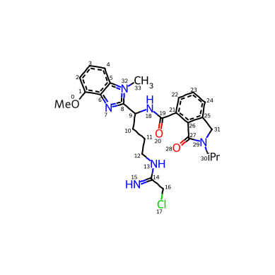 COc1cccc2c1nc(C(CCCNC(=N)CCl)NC(=O)c1cccc3c1C(=O)N(C(C)C)C3)n2C